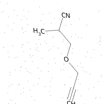 C#CCOC[C](C)C#N